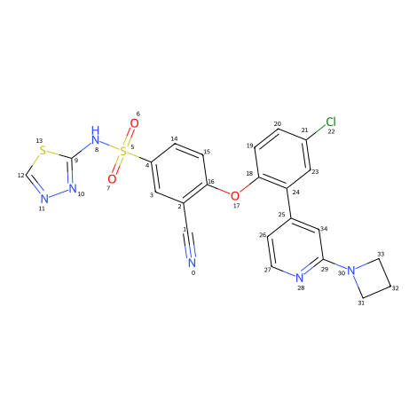 N#Cc1cc(S(=O)(=O)Nc2nncs2)ccc1Oc1ccc(Cl)cc1-c1ccnc(N2CCC2)c1